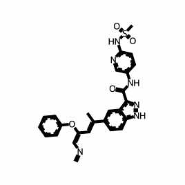 C=N/C=C(\C=C(/C)c1ccc2[nH]nc(C(=O)Nc3ccc(NS(C)(=O)=O)nc3)c2c1)Oc1ccccc1